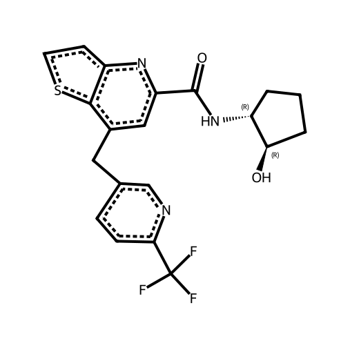 O=C(N[C@@H]1CCC[C@H]1O)c1cc(Cc2ccc(C(F)(F)F)nc2)c2sccc2n1